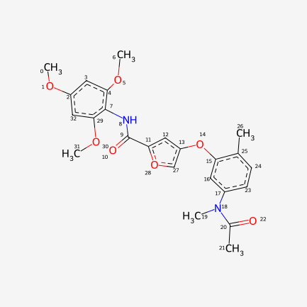 COc1cc(OC)c(NC(=O)c2cc(Oc3cc(N(C)C(C)=O)ccc3C)co2)c(OC)c1